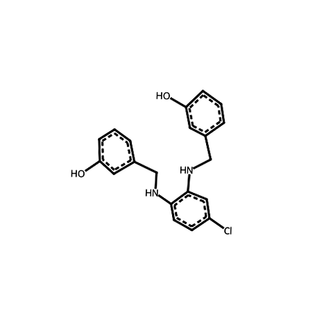 Oc1cccc(CNc2ccc(Cl)cc2NCc2cccc(O)c2)c1